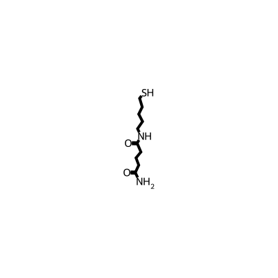 NC(=O)CCCC(=O)NCCCCCS